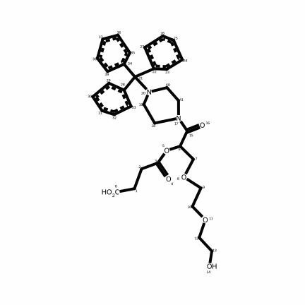 O=C(O)CCC(=O)OC(COCCOCCO)C(=O)N1CCN(C(c2ccccc2)(c2ccccc2)c2ccccc2)CC1